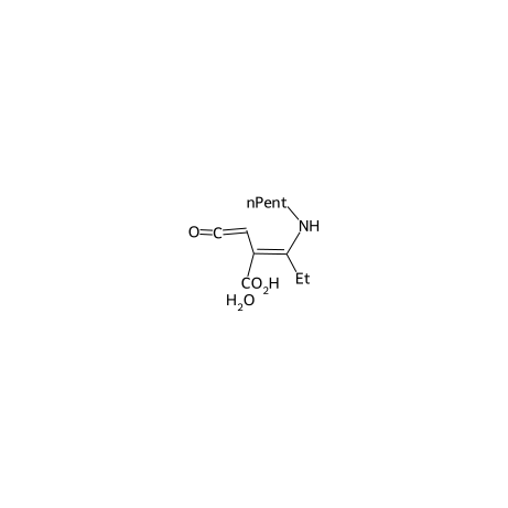 CCCCCNC(CC)=C(C=C=O)C(=O)O.O